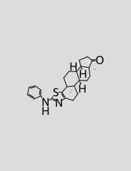 C[C@]12CCc3nc(Nc4ccccc4)sc3C1CC[C@@H]1[C@@H]2CC[C@]2(C)C(=O)CC[C@@H]12